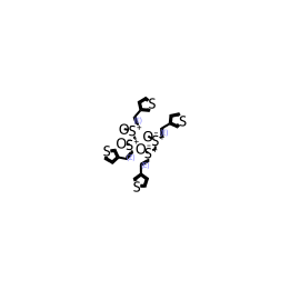 [O-][S+](/C=C/c1ccsc1)C[S+]([O-])/C=C/c1ccsc1.[O-][S+](/C=C\c1ccsc1)C[S+]([O-])/C=C/c1ccsc1